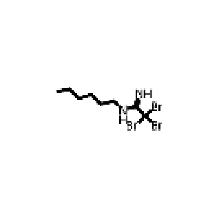 CCCCCCNC(=N)C(Br)(Br)Br